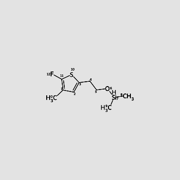 Cc1cc(CCO[SiH](C)C)sc1F